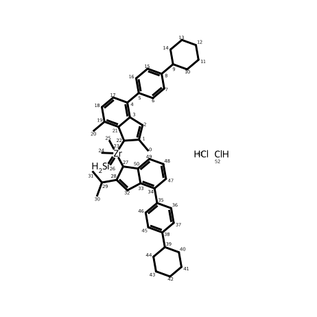 CC1=Cc2c(-c3ccc(C4CCCCC4)cc3)ccc(C)c2[CH]1[Zr]([CH3])([CH3])(=[SiH2])[CH]1C(C(C)C)=Cc2c(-c3ccc(C4CCCCC4)cc3)cccc21.Cl.Cl